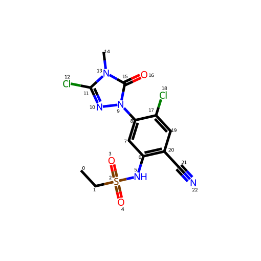 CCS(=O)(=O)Nc1cc(-n2nc(Cl)n(C)c2=O)c(Cl)cc1C#N